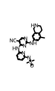 Cc1cc(Nc2ncc(C#N)c(Nc3cccc(N=S(C)(C)=O)n3)n2)cc2c1CCNC2